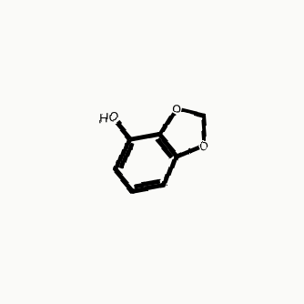 Oc1cc[c]c2c1OCO2